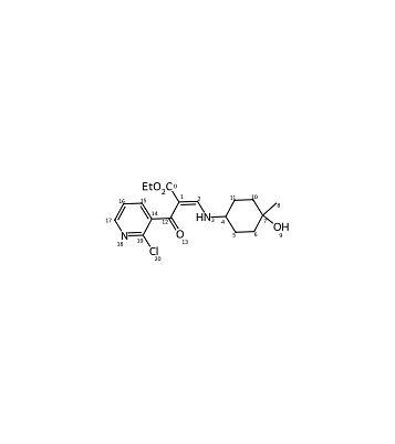 CCOC(=O)/C(=C/NC1CCC(C)(O)CC1)C(=O)c1cccnc1Cl